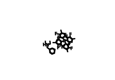 CC[NH+](CC)Cc1ccccc1.Cc1cc(F)c([B-](c2c(F)cc(C)c(F)c2F)(c2c(F)cc(C)c(F)c2F)c2c(F)cc(C)c(F)c2F)c(F)c1F